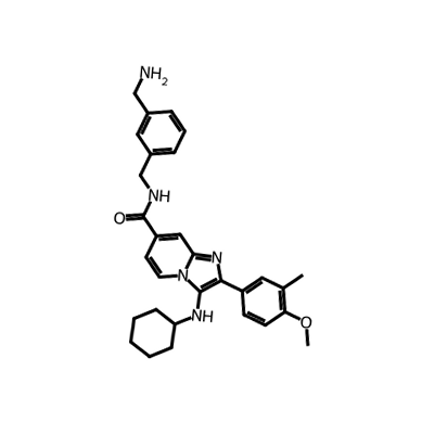 COc1ccc(-c2nc3cc(C(=O)NCc4cccc(CN)c4)ccn3c2NC2CCCCC2)cc1C